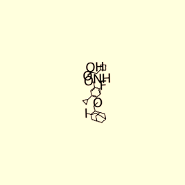 O=C(N[C@H](C(=O)O)C1CCC1)c1cc(C2CC2)c(OCC2C3CC4CC(C3)CC2(I)C4)cc1F